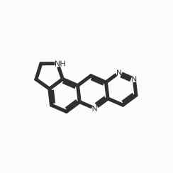 c1cc2nc3ccc4c(c3cc2nn1)NCC4